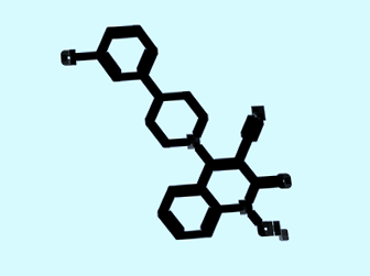 Cn1c(=O)c(C#N)c(N2CCC(c3cccc(Cl)c3)CC2)c2ccccc21